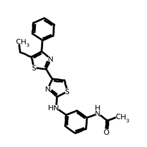 CCc1sc(-c2csc(Nc3cccc(NC(C)=O)c3)n2)nc1-c1ccccc1